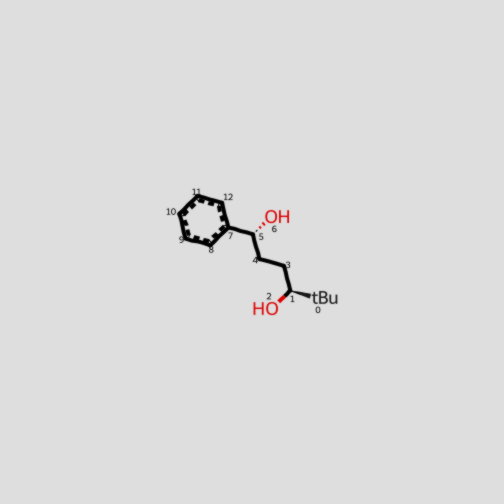 CC(C)(C)[C@@H](O)CC[C@@H](O)c1ccccc1